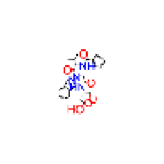 CC(C)[C@H](NC(=O)c1ccccc1)C(=O)N(CC(=O)N[C@H](C=O)CC(=O)O)N1Cc2ccccc2C1